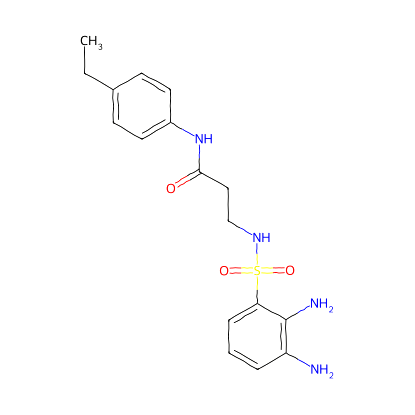 CCc1ccc(NC(=O)CCNS(=O)(=O)c2cccc(N)c2N)cc1